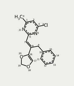 Cc1cc(Cl)nc(/C=C(\Cc2ccccc2)C2=COCO2)n1